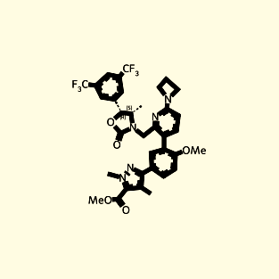 COC(=O)c1c(C)c(-c2ccc(OC)c(-c3ccc(N4CCC4)nc3CN3C(=O)O[C@H](c4cc(C(F)(F)F)cc(C(F)(F)F)c4)[C@@H]3C)c2)nn1C